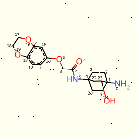 NC12CCC(NC(=O)COc3ccc4c(c3)OCCO4)(CC1)CC2O